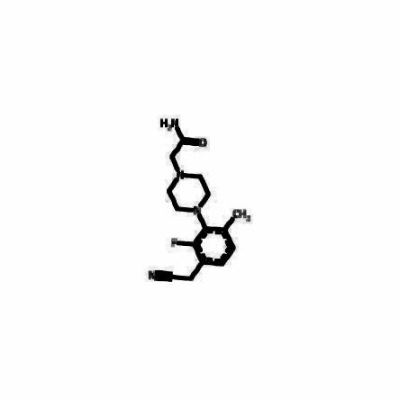 Cc1ccc(CC#N)c(F)c1N1CCN(CC(N)=O)CC1